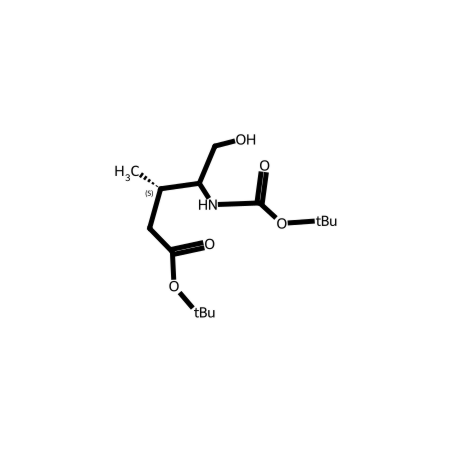 C[C@@H](CC(=O)OC(C)(C)C)C(CO)NC(=O)OC(C)(C)C